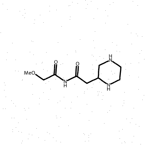 COCC(=O)NC(=O)CC1CNCCN1